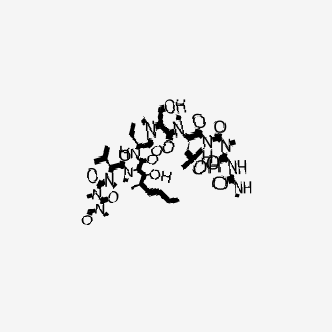 C/C=C/C[C@@H](C)[C@@H](O)[C@@H](C(=O)N[C@@H](CC)C(=O)N(C)C(CO)C(=O)N(C)[C@@H](CC(C)(C)O)C(=O)NC(=O)N(C)C(=O)NC(=O)NC)N(C)C(=O)[C@H](C(C)C)N(C)C(=O)N(C)C(=O)N(C)C=O